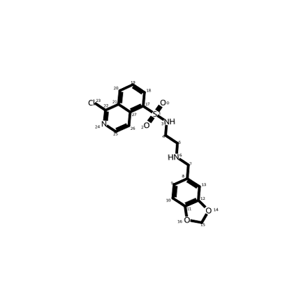 O=S(=O)(NCCNCc1ccc2c(c1)OCO2)c1cccc2c(Cl)nccc12